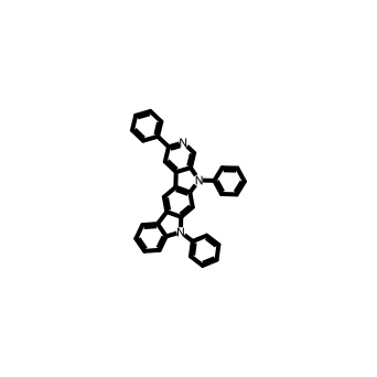 c1ccc(-c2cc3c4cc5c6ccccc6n(-c6ccccc6)c5cc4n(-c4ccccc4)c3cn2)cc1